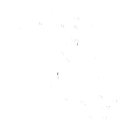 C=CC(=O)N1CCOC2(C1)CN(C(=O)N(C)C(C(=O)N[C@H]1Cc3cccc(c3)-c3ccc4c(c3)c(c(-c3cccnc3[C@H](C)OC)n4CC(F)(F)F)CC(C)(C)COC(=O)[C@@H]3CCCN(NC3)C1=O)C(C)C)C2